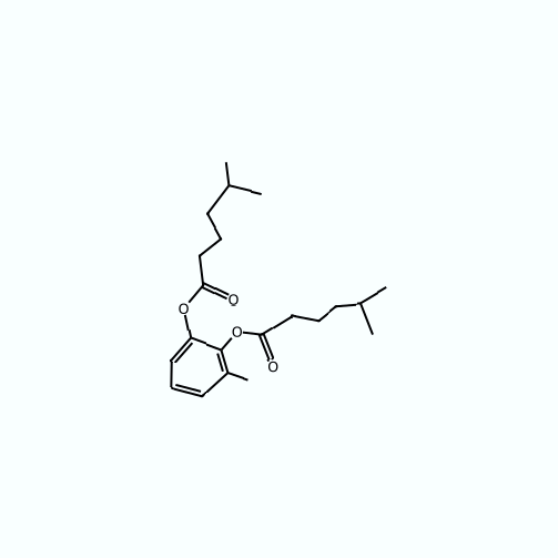 Cc1cccc(OC(=O)CCCC(C)C)c1OC(=O)CCCC(C)C